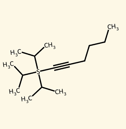 CCCCC#CS(C(C)C)(C(C)C)C(C)C